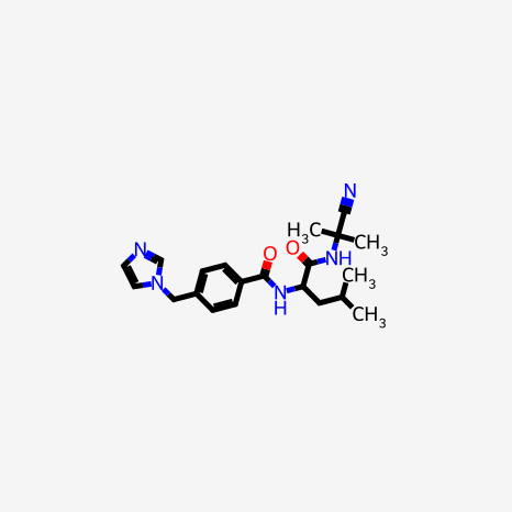 CC(C)CC(NC(=O)c1ccc(Cn2ccnc2)cc1)C(=O)NC(C)(C)C#N